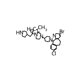 CC(C)[C@H]1CN(C2CCN(C3c4ccc(Cl)cc4CCc4cc(Br)cnc43)CC2)CCN1C(=O)CC1CCNCC1